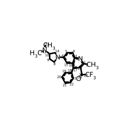 Cc1nc2ccc(N3CCC(N(C)C)C3)cc2c(-c2ccccc2)c1C(=O)C(F)(F)F